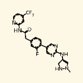 CN1C=C(Nc2ncc(-c3ccc(CC(=O)Nc4cc(C(F)(F)F)ccn4)cc3F)cn2)CN1